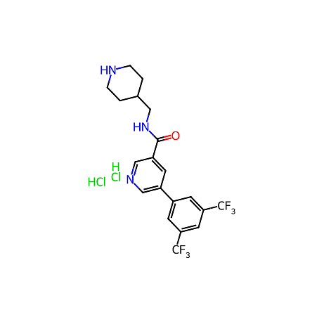 Cl.Cl.O=C(NCC1CCNCC1)c1cncc(-c2cc(C(F)(F)F)cc(C(F)(F)F)c2)c1